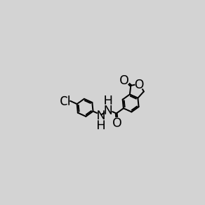 O=C(NNc1ccc(Cl)cc1)c1ccc2c(c1)C(=O)OC2